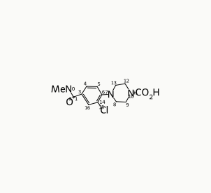 CNC(=O)c1ccc(N2CCN(C(=O)O)CC2)c(Cl)c1